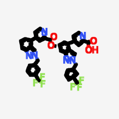 COC(=O)c1cc(-c2cccc3nn(Cc4cccc(C(F)(F)F)c4)cc23)ccn1.O=C(O)c1cc(-c2cccc3nn(Cc4cccc(C(F)(F)F)c4)cc23)ccn1